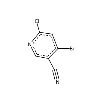 N#Cc1cnc(Cl)cc1Br